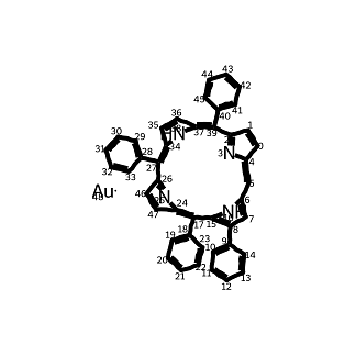 C1=Cc2nc1cc1cc(-c3ccccc3)c([nH]1)c(-c1ccccc1)c1nc(c(-c3ccccc3)c3ccc([nH]3)c2-c2ccccc2)C=C1.[Au]